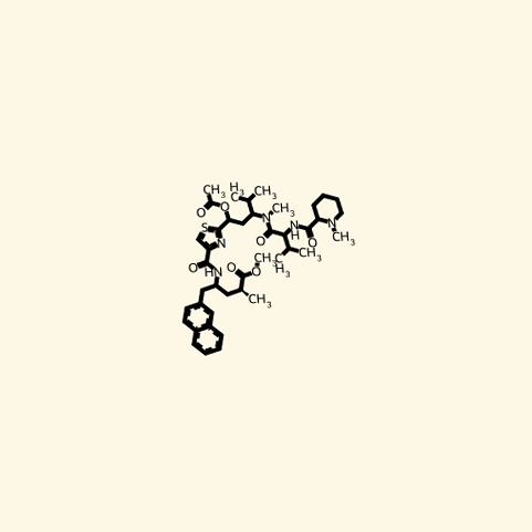 COC(=O)[C@@H](C)CC(Cc1ccc2ccccc2c1)NC(=O)c1csc(C(CC(C(C)C)N(C)C(=O)C(NC(=O)C2CCCCN2C)C(C)C)OC(C)=O)n1